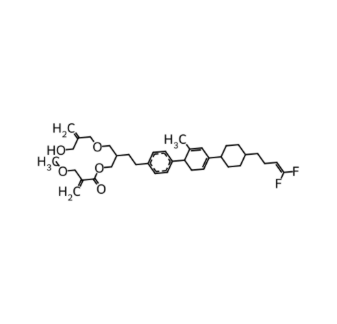 C=C(CO)COCC(CCc1ccc(C2CC=C(C3CCC(CCC=C(F)F)CC3)C=C2C)cc1)COC(=O)C(=C)COC